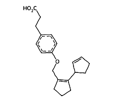 O=C(O)CCc1ccc(OCC2=C(C3C=CCC3)CCC2)cc1